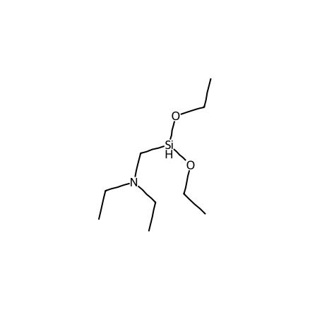 CCO[SiH](CN(CC)CC)OCC